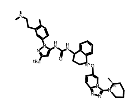 Cc1ccc(-n2nc(C(C)(C)C)cc2NC(=O)NC2CC[C@@H](Oc3ccc4nnc(N5CCCC[C@@H]5C)n4c3)c3ccccc32)cc1CCN(C)C